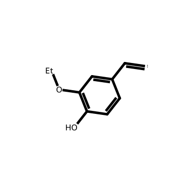 [C]=Cc1ccc(O)c(OCC)c1